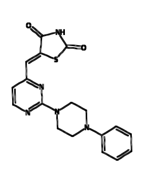 O=C1NC(=O)C(=Cc2ccnc(N3CCN(c4ccccc4)CC3)n2)S1